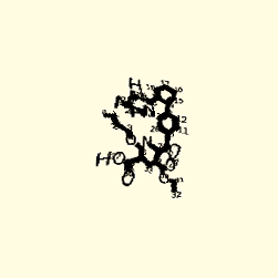 CCCCOc1nc(C(=O)c2ccc(-c3ccccc3-c3nnn[nH]3)cc2)c(C(=O)OCC)cc1C(=O)O